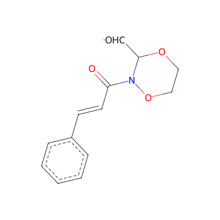 O=[C]C1OCCON1C(=O)C=Cc1ccccc1